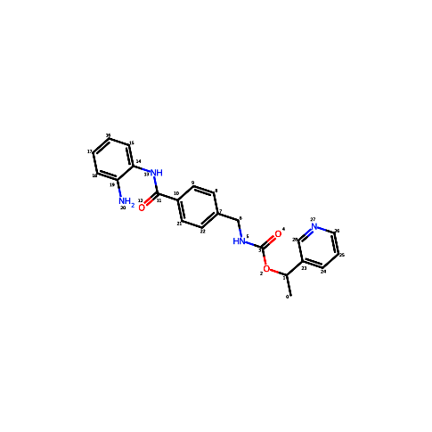 CC(OC(=O)NCc1ccc(C(=O)Nc2ccccc2N)cc1)c1cccnc1